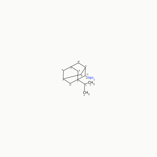 CC(C)C12CC3CC(CC(C3)C1N)C2